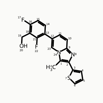 Cc1c(-c2cccs2)nc2ccc(-c3ccc(F)c(CO)c3F)cn12